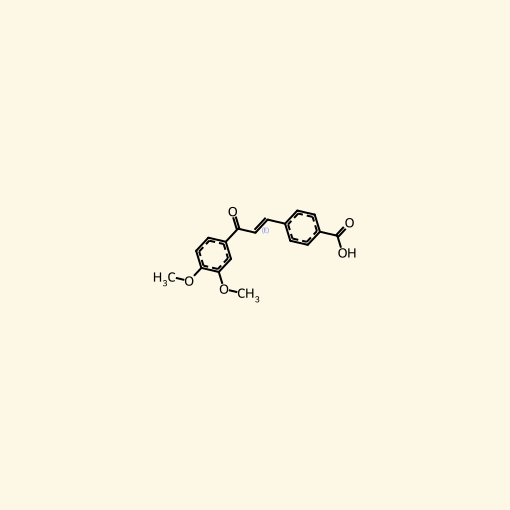 COc1ccc(C(=O)/C=C/c2ccc(C(=O)O)cc2)cc1OC